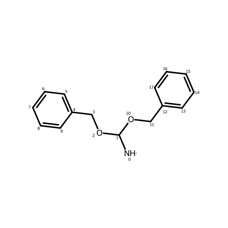 [NH]C(OCc1ccccc1)OCc1ccccc1